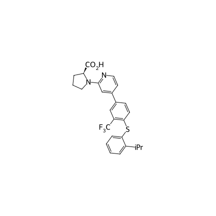 CC(C)c1ccccc1Sc1ccc(-c2ccnc(N3CCC[C@H]3C(=O)O)c2)cc1C(F)(F)F